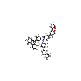 c1cc(N(c2ccc(-c3ccc4ccccc4c3)cc2)c2ccc(-c3ccc4oc5ccccc5c4c3)cc2)cc(-n2c3ccccc3c3ccccc32)c1